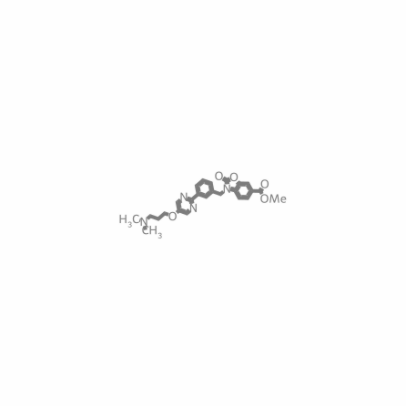 COC(=O)c1ccc2c(c1)oc(=O)n2Cc1cccc(-c2ncc(OCCCN(C)C)cn2)c1